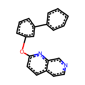 c1ccc(-c2cccc(Oc3ccc4ccncc4n3)c2)cc1